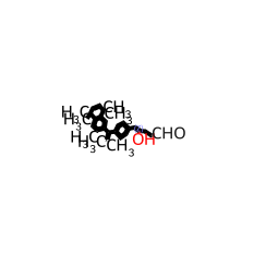 CC(C)=C(c1ccc(/C=C(\O)CCC=O)cc1)c1cc2c(cc1C)C(C)(C)C=CC2(C)C